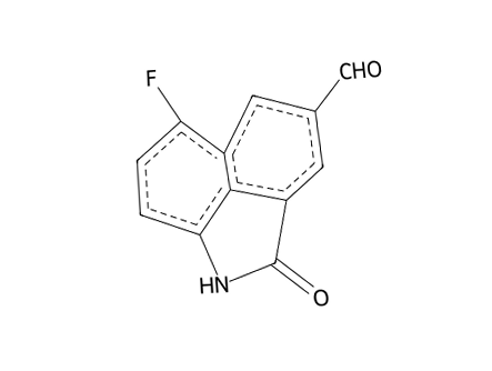 O=Cc1cc2c3c(ccc(F)c3c1)NC2=O